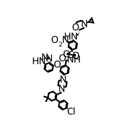 CC1(C)CCC(CN2CCN(c3ccc(C(=O)NS(=O)(=O)c4ccc(NC[C@H]5CN(C6CC6)CCO5)c([N+](=O)[O-])c4)c(Oc4cccc5[nH]nnc45)c3)CC2)=C(c2ccc(Cl)cc2)C1